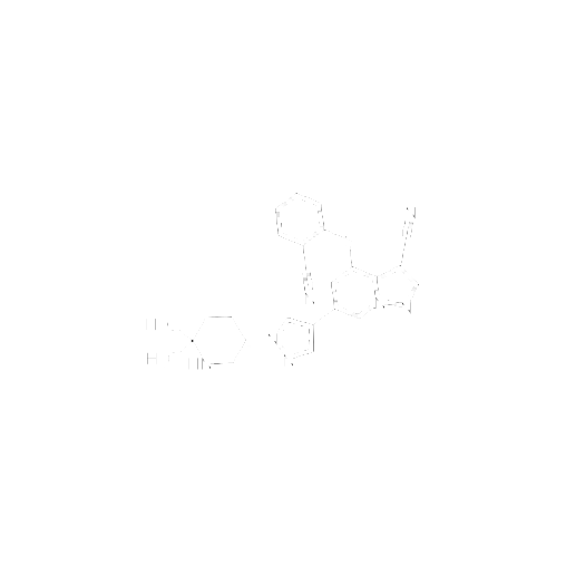 CC1(C)CC[C@H](n2cc(-c3cc(Sc4ccccc4C#N)c4c(C#N)cnn4c3)cn2)CN1